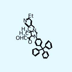 CCc1cc(CN2CN(c3ccc(C(c4ccccc4)(c4ccccc4)c4ccccc4)cc3)C(C(=O)C=O)C2(C)C)ccn1